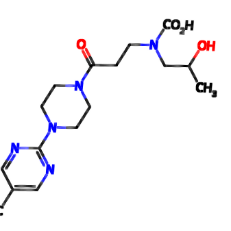 CC(O)CN(CCC(=O)N1CCN(c2ncc(C(F)(F)F)cn2)CC1)C(=O)O